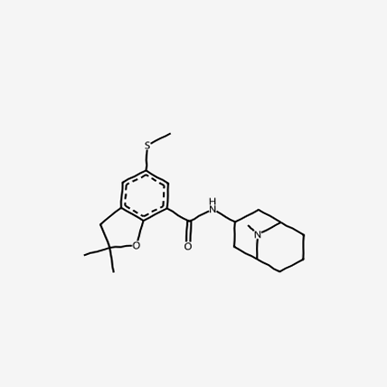 CSc1cc2c(c(C(=O)NC3CC4CCCC(C3)N4C)c1)OC(C)(C)C2